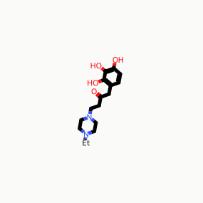 CCN1CCN(CCC(=O)Cc2ccc(O)c(O)c2O)CC1